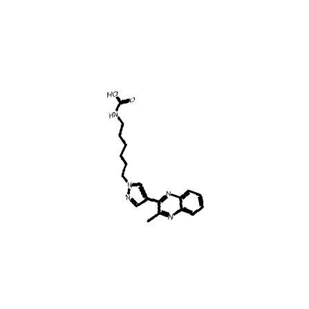 Cc1nc2ccccc2nc1-c1cnn(CCCCCCNC(=O)O)c1